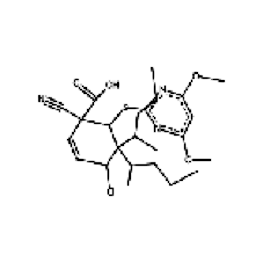 CCCC(C)C1(C(C)CCC)C(Cl)C=CC(C#N)(C(=O)O)C1Sc1nc(OC)cc(OC)n1